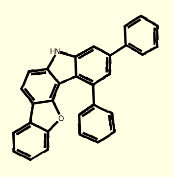 c1ccc(-c2cc(-c3ccccc3)c3c(c2)[nH]c2ccc4c5ccccc5oc4c23)cc1